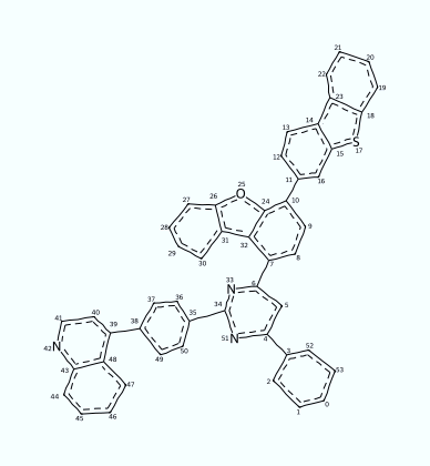 c1ccc(-c2cc(-c3ccc(-c4ccc5c(c4)sc4ccccc45)c4oc5ccccc5c34)nc(-c3ccc(-c4ccnc5ccccc45)cc3)n2)cc1